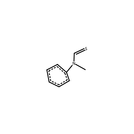 CN(C=S)c1[c]cccc1